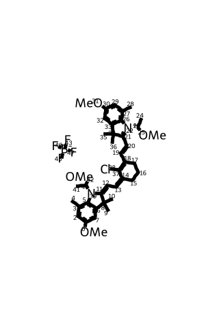 COc1cc(C)c2c(c1)C(C)(C)C(=CC=C1CCCC(C=CC3=[N+](C(C)OC)c4c(C)cc(OC)cc4C3(C)C)=C1Cl)N2C(C)OC.F[B-](F)(F)F